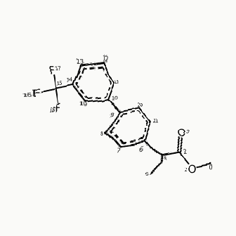 COC(=O)C(C)c1ccc(-c2cccc(C(F)(F)F)c2)cc1